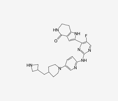 O=C1NCCc2[nH]c(-c3nc(Nc4ccc(N5CCC(CC6CNC6)CC5)cn4)ncc3F)cc21